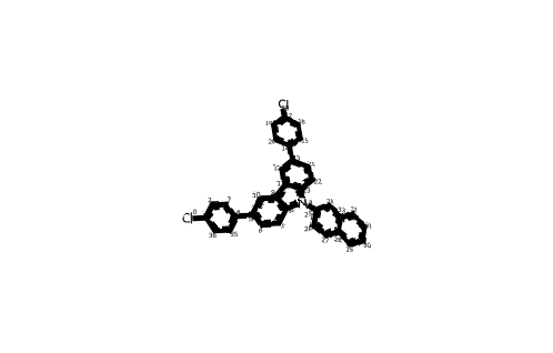 Clc1ccc(-c2ccc3c(c2)c2cc(-c4ccc(Cl)cc4)ccc2n3-c2ccc3ccccc3c2)cc1